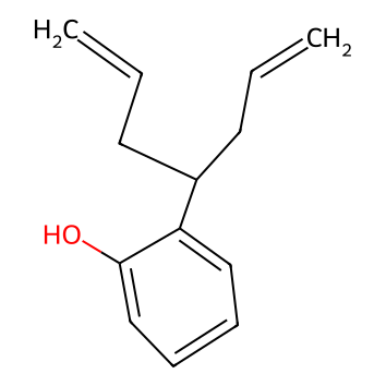 C=CCC(CC=C)c1ccccc1O